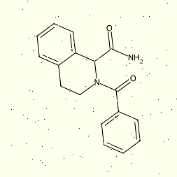 NC(=O)C1c2cc[c]cc2CCN1C(=O)c1ccccc1